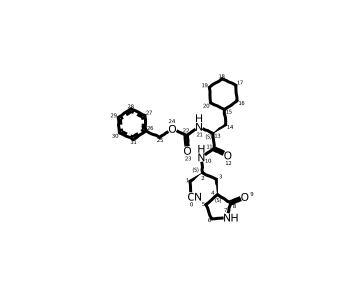 N#CC[C@H](C[C@@H]1CCNC1=O)NC(=O)[C@H](CC1CCCCC1)NC(=O)OCc1ccccc1